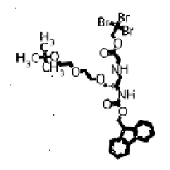 CC(C)(C)OCCOCCOC[C@H](CNCC(=O)OCC(Br)(Br)Br)NC(=O)OCC1c2ccccc2-c2ccccc21